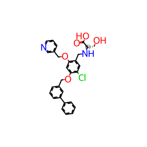 O=C(O)[C@H](CO)NCc1cc(Cl)c(OCc2cccc(-c3ccccc3)c2)cc1OCc1cccnc1